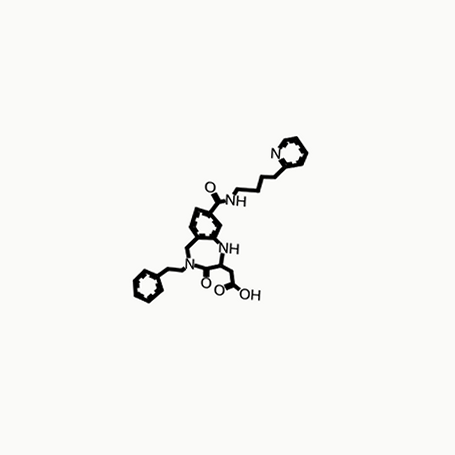 O=C(O)CC1Nc2cc(C(=O)NCCCCc3ccccn3)ccc2CN(CCc2ccccc2)C1=O